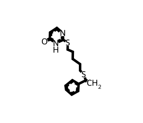 C=C(SCCCCCSc1nccc(=O)[nH]1)c1ccccc1